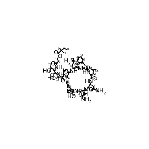 CCC(C)(C)C(=O)OCCC(=O)N[C@H](C(=O)N[C@H](CO)C(=O)N[C@H]1CCNC(=O)[C@H]([C@@H](C)O)NC(=O)[C@H](CCN)NC(=O)[C@H](CCN)NC(=O)[C@H](CC(C)C)NC(=O)[C@@H](Cc2ccccc2)NC(=O)[C@H](CCN)NC1=O)[C@H](C)O